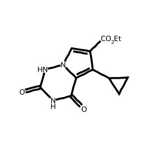 CCOC(=O)c1cn2[nH]c(=O)[nH]c(=O)c2c1C1CC1